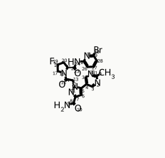 Cc1ncc(-c2cc(C(N)=O)nn2CC(=O)N2C[C@H](F)C[C@H]2C(=O)Nc2cccc(Br)n2)cn1